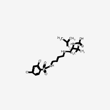 CC(C)C[C@](CNCCCCNS(=O)(=O)c1ccc(Cl)cc1Cl)(NC(=O)O)C(C)(C)C